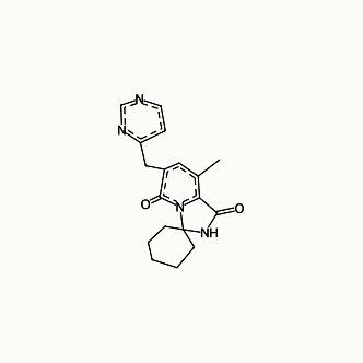 Cc1cc(Cc2ccncn2)c(=O)n2c1C(=O)NC21CCCCC1